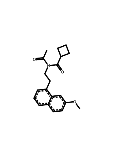 COc1ccc2cccc(CCN(C(C)=O)C(=O)C3CCC3)c2c1